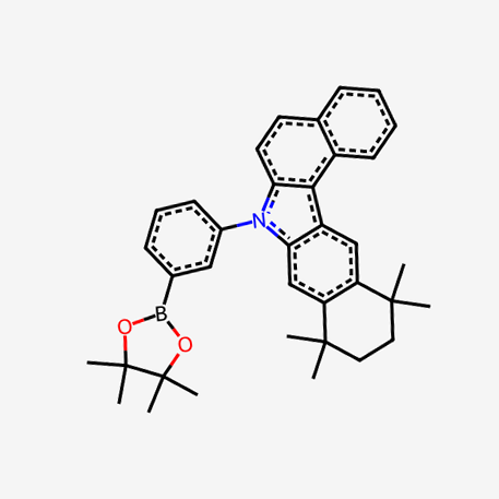 CC1(C)CCC(C)(C)c2cc3c(cc21)c1c2ccccc2ccc1n3-c1cccc(B2OC(C)(C)C(C)(C)O2)c1